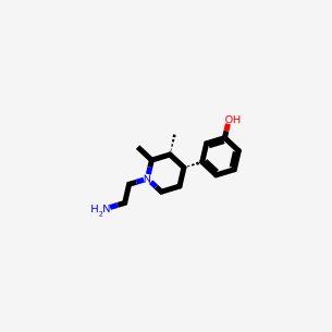 CC1[C@H](C)[C@H](c2cccc(O)c2)CCN1CCN